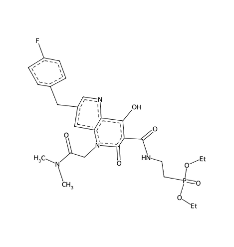 CCOP(=O)(CCNC(=O)c1c(O)c2ncc(Cc3ccc(F)cc3)cc2n(CC(=O)N(C)C)c1=O)OCC